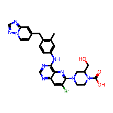 Cc1cc(Nc2ncnc3cc(Br)c(N4CCN(C(=O)O)C(CO)C4)nc23)ccc1Cc1ccn2ncnc2c1